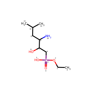 CCOP(=O)(O)CC(O)C(N)CC(C)C